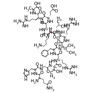 CC[C@H](C)[C@H](NC(=O)[C@H](Cc1ccccc1)NC(=O)[C@H](CCCNC(=N)N)NC(=O)[C@@H](NC(=O)CNC(=O)[C@H](Cc1c[nH]cn1)NC(=O)[C@@H](N)CCC(N)=O)[C@@H](C)O)C(=O)N[C@@H](CCCNC(=N)N)C(=O)N[C@@H](CC(C)C)C(=O)N[C@@H](CCCCN)C(=O)N[C@@H](CC(C)C)C(=O)N[C@@H](CCC(=O)O)C(=O)N[C@@H](CCCNC(=N)N)C(=O)N[C@@H](C)C(=O)O